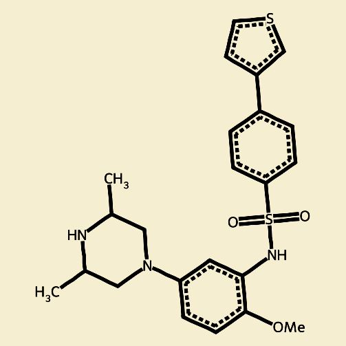 COc1ccc(N2CC(C)NC(C)C2)cc1NS(=O)(=O)c1ccc(-c2ccsc2)cc1